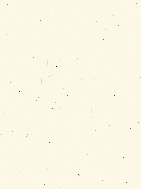 C=C1C2CCC(C2)C1(C)C(C)=CC(C)(C)O